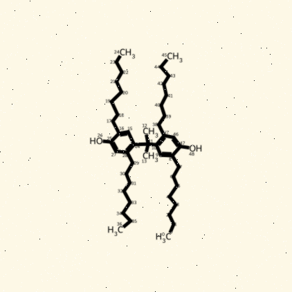 CCCCCCCCc1cc(C(C)(C)c2cc(CCCCCCCC)c(O)cc2CCCCCCCC)c(CCCCCCCC)cc1O